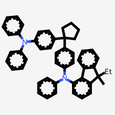 CCC1(C)c2ccccc2-c2c(N(c3ccccc3)c3ccc(C4(c5ccc(N(c6ccccc6)c6ccccc6)cc5)CCCC4)cc3)cccc21